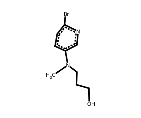 CN(CCCO)c1ccc(Br)nc1